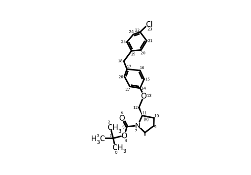 CC(C)(C)OC(=O)N1CCC[C@@H]1COc1ccc(Cc2ccc(Cl)cc2)cc1